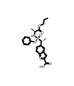 CCCOC(=O)[C@H](C)NP(=O)(Oc1ccccc1)[C@H](F)c1ccc2sc(C(=O)O)cc2c1